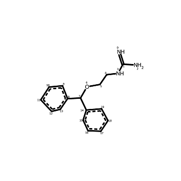 N=C(N)NCCOC(c1ccccc1)c1ccccc1